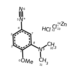 COc1ccc([N+]#N)cc1N(C)C.Cl.[Cl-].[Zn]